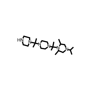 CC(C)N1CC(C)N(C(C)(C)N2CCN(C(C)(C)N3CCNCC3)CC2)C(C)C1